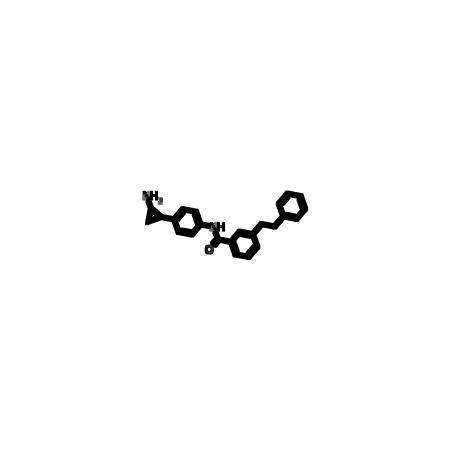 NC1CC1c1ccc(NC(=O)c2cccc(CCc3ccccc3)c2)cc1